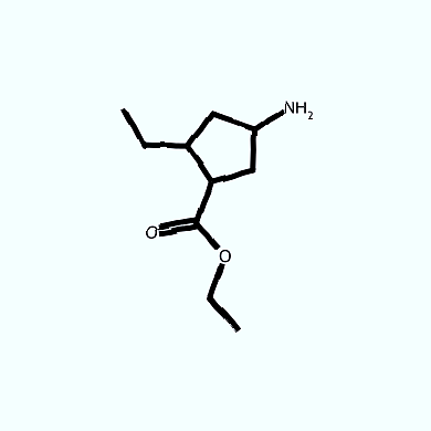 CCOC(=O)C1CC(N)CC1CC